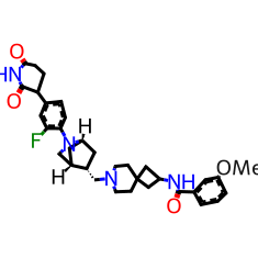 COc1cccc(C(=O)NC2CC3(CCN(C[C@H]4C[C@@H]5C[C@H]4CN5c4ccc(C5CCC(=O)NC5=O)cc4F)CC3)C2)c1